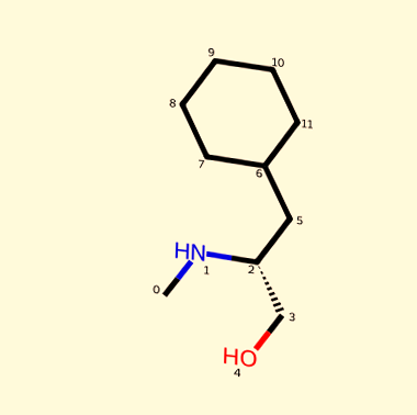 CN[C@@H](CO)CC1CCCCC1